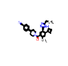 CCc1nnc(-c2cc(C(=O)N3CCC(c4ccc(C#N)cc4)CC3)c(C)cc2C2CCC2)[nH]1